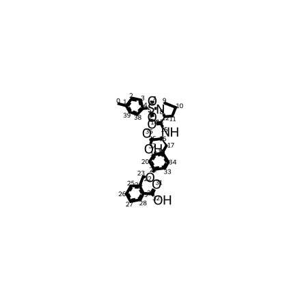 Cc1ccc(S(=O)(=O)N2CCC[C@H]2C(=O)N[C@@H](Cc2ccc(OCc3ccccc3C(=O)O)cc2)C(=O)O)cc1